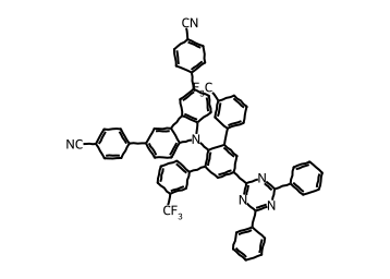 N#Cc1ccc(-c2ccc3c(c2)c2cc(-c4ccc(C#N)cc4)ccc2n3-c2c(-c3cccc(C(F)(F)F)c3)cc(-c3nc(-c4ccccc4)nc(-c4ccccc4)n3)cc2-c2cccc(C(F)(F)F)c2)cc1